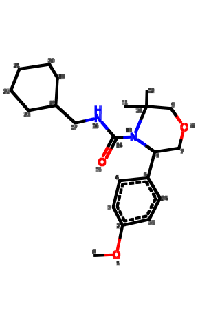 COc1ccc(C2COCC(C)(C)N2C(=O)NCC2CCCCC2)cc1